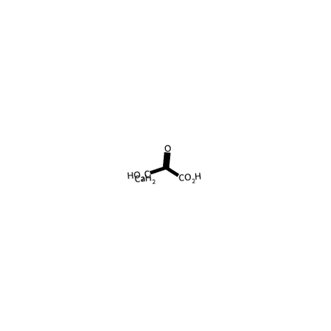 O=C(O)C(=O)C(=O)O.[CaH2]